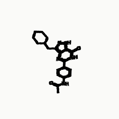 CC(=O)Nc1ccc(-c2nc3c(CC4CCCCC4)n[nH]c3c(=O)[nH]2)cc1